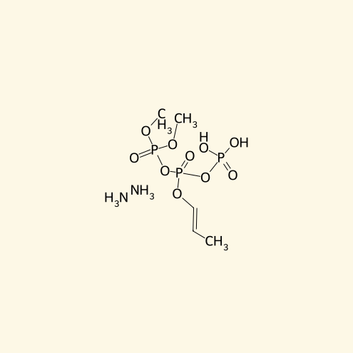 CC=COP(=O)(OP(=O)(O)O)OP(=O)(OC)OC.N.N